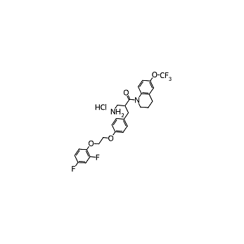 Cl.NCC(Cc1ccc(OCCOc2ccc(F)cc2F)cc1)C(=O)N1CCCc2cc(OC(F)(F)F)ccc21